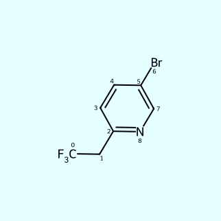 FC(F)(F)Cc1ccc(Br)cn1